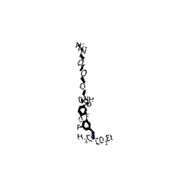 CCOC(=O)/C(C)=C/c1cc(F)c(Oc2ccc(S(=O)(=O)NCCOCCOCCOCCN=[N+]=[N-])cc2)c(F)c1